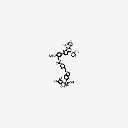 COc1ccc(-c2ccc3c(N4CCOC[C@@H]4C)nc(N4CCOC[C@@H]4C)nc3n2)cc1COC(=O)N1CCC(CCn2ccc3cc(-n4c(O)nnc4-c4cc(C(C)C)c(O)cc4O)ccc32)CC1